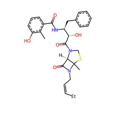 CC/C=C\CN1C(=O)[C@H]2N(C(=O)[C@@H](O)[C@H](Cc3ccccc3)NC(=O)c3cccc(O)c3C)CSC21C